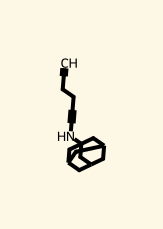 C#CCCC#CNC12CC3CC(CC(C3)C1)C2